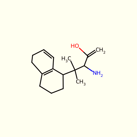 C=C(O)C(N)C(C)(C)C1CCCC2=C1C=CCC2